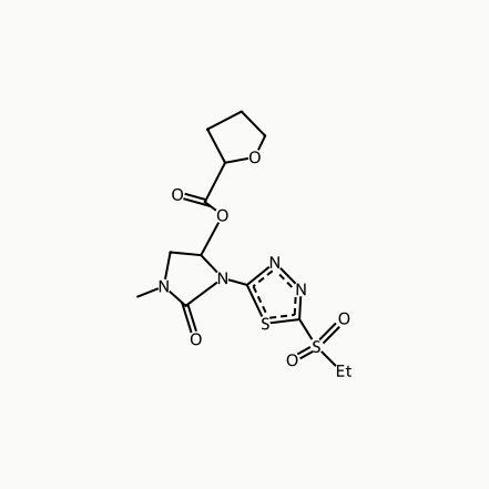 CCS(=O)(=O)c1nnc(N2C(=O)N(C)CC2OC(=O)C2CCCO2)s1